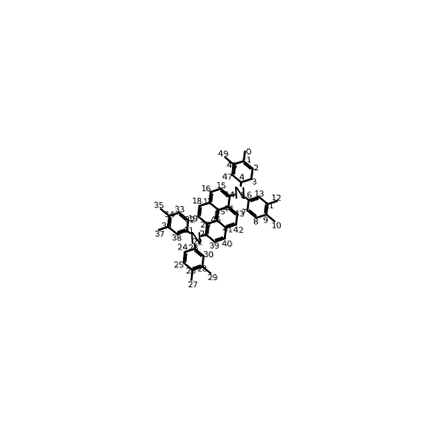 CC1=CCC(N(c2ccc(C)c(C)c2)c2ccc3ccc4c(N(c5ccc(C)c(C)c5)c5ccc(C)c(C)c5)ccc5ccc2c3c54)C=C1C